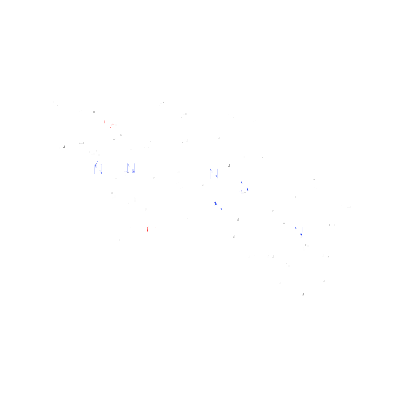 c1ccc(-c2nc(-c3ccc4c(c3)oc3cccc(-c5nc(-c6ccccc6)c6oc7ccccc7c6n5)c34)nc(-c3ccc4c5ccccc5n(-c5ccccc5)c4c3)n2)cc1